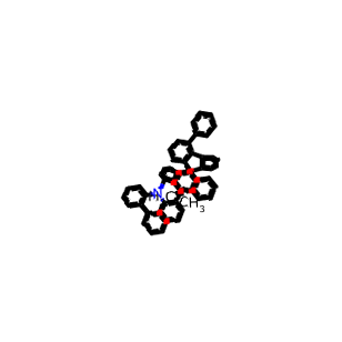 CC1(C)c2ccccc2C2(c3ccccc3-c3c(-c4ccccc4)cccc32)c2cccc(N(c3ccccc3-c3ccccc3)c3ccccc3-c3ccccc3)c21